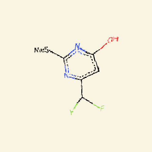 CSc1nc(O)cc(C(F)F)n1